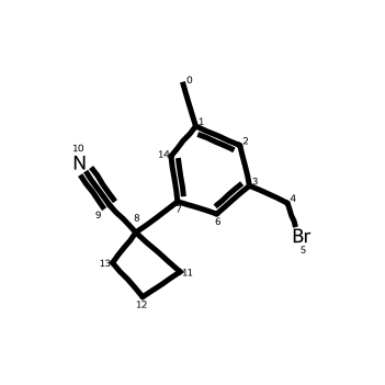 Cc1cc(CBr)cc(C2(C#N)CCC2)c1